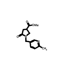 COC(=O)C1CC(=O)N(Cc2ccc(C)nc2)C1